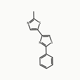 Cc1ncc(-c2[c]sc(-c3ccccc3)n2)s1